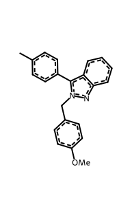 COc1ccc(Cn2nc3ccccc3c2-c2ccc(C)cc2)cc1